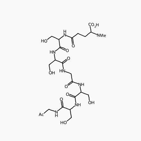 CNC(CCC(=O)NC(CO)C(=O)NC(CO)C(=O)NCC(=O)NC(CO)C(=O)NC(CO)C(=O)NCC(C)=O)C(=O)O